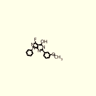 COc1cccc(-c2nc(O)c3c(F)nn(-c4ccccc4)c3n2)c1